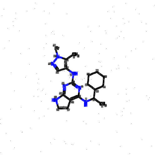 Cc1c(Nc2nc(NC(C)C3CCCCC3)c3cc[nH]c3n2)cnn1C(C)C